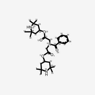 CC1(C)CC(OC(=O)CN(CC(=O)OC2CC(C)(C)NC(C)(C)C2)C(=O)c2ccccc2)CC(C)(C)N1